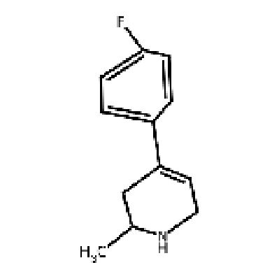 CC1CC(c2ccc(F)cc2)=CCN1